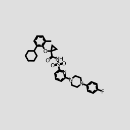 Cc1cccc(C2CCCCC2)c1OC1(C(=O)NS(=O)(=O)c2cccc(N3CCN(c4ccc(F)cc4)CC3)n2)CC1